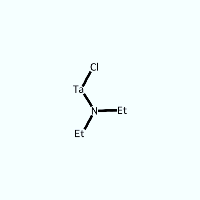 CC[N](CC)[Ta][Cl]